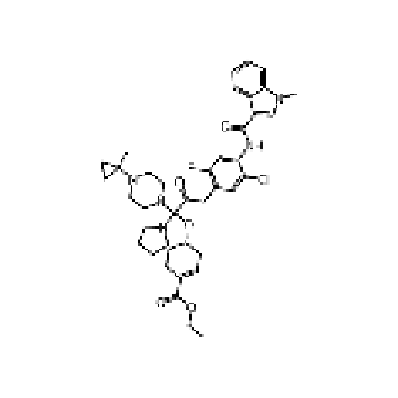 CCOC(=O)C1=CC[C@@H](OC(C(=O)Cc2cc(Cl)c(NC(=O)c3cn(C)c4ccccc34)cc2F)(N2CCCC2)N2CCN(C3(C)CC3)CC2)CC1